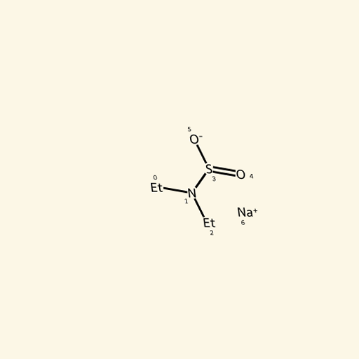 CCN(CC)S(=O)[O-].[Na+]